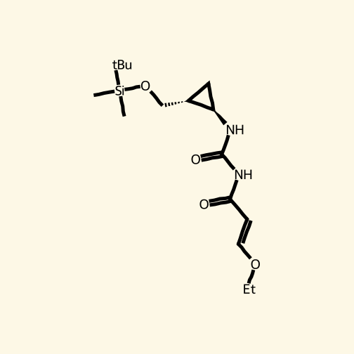 CCO/C=C/C(=O)NC(=O)N[C@@H]1C[C@H]1CO[Si](C)(C)C(C)(C)C